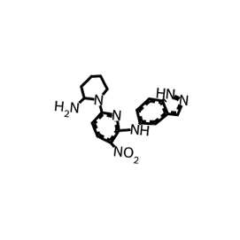 NC1CCCCN1c1ccc([N+](=O)[O-])c(Nc2ccc3[nH]ncc3c2)n1